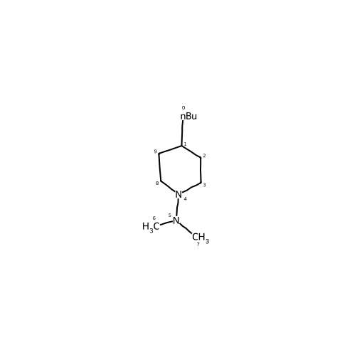 CCCCC1CCN(N(C)C)CC1